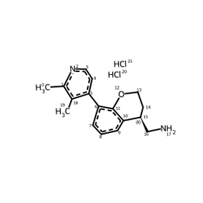 Cc1nccc(-c2cccc3c2OCC[C@H]3CN)c1C.Cl.Cl